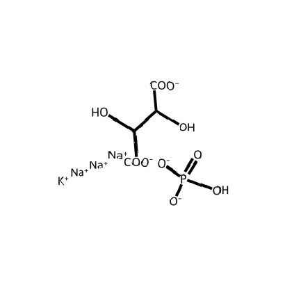 O=C([O-])C(O)C(O)C(=O)[O-].O=P([O-])([O-])O.[K+].[Na+].[Na+].[Na+]